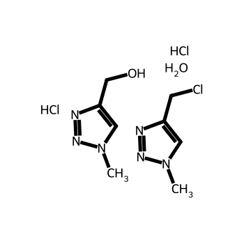 Cl.Cl.Cn1cc(CCl)nn1.Cn1cc(CO)nn1.O